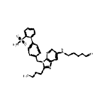 CCCCc1nc2cc(NCCCCC=O)cnc2n1Cc1ccc(-c2ccccc2S(N)(=O)=O)cc1